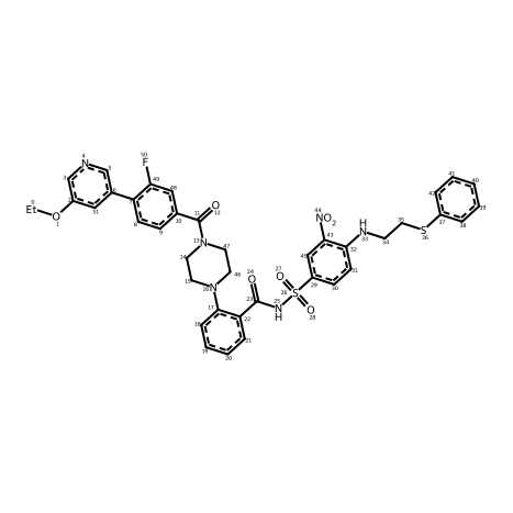 CCOc1cncc(-c2ccc(C(=O)N3CCN(c4ccccc4C(=O)NS(=O)(=O)c4ccc(NCCSc5ccccc5)c([N+](=O)[O-])c4)CC3)cc2F)c1